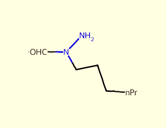 CCCCCCN(N)[C]=O